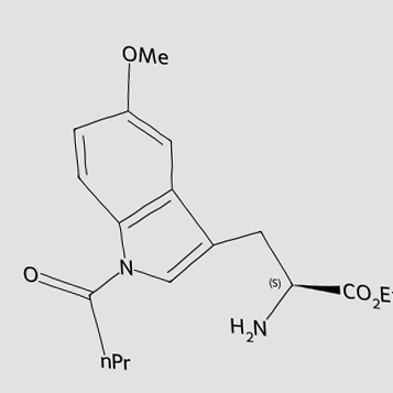 CCCC(=O)n1cc(C[C@H](N)C(=O)OCC)c2cc(OC)ccc21